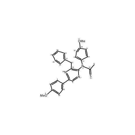 COc1ccc(-c2cnc(N(C(C)=S)c3ccc(OC)cc3)c(Cc3ccccc3)n2)cc1